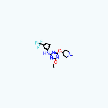 CCOc1nc(Nc2cccc(C(F)(F)F)c2)nc(OC2CCN(C)CC2)n1